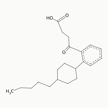 CCCCCC1CCC(c2ccccc2C(=O)CCC(=O)O)CC1